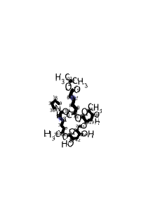 CC(C)OC(=O)/C=C/CC[C@@H](C)O[C@@H]1O[C@@H](C)[C@H](O)C[C@H]1OC[C@@H]1O[C@@H](O[C@H](C)CC/C=C/C(=O)N2CCCC2)[C@H](O)C[C@H]1O